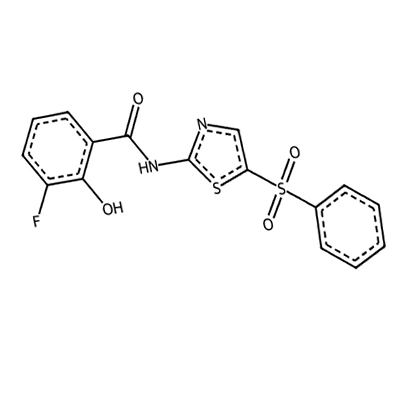 O=C(Nc1ncc(S(=O)(=O)c2ccccc2)s1)c1cccc(F)c1O